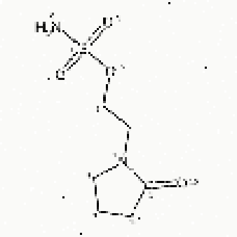 NS(=O)(=O)OCCN1CCCC1=O